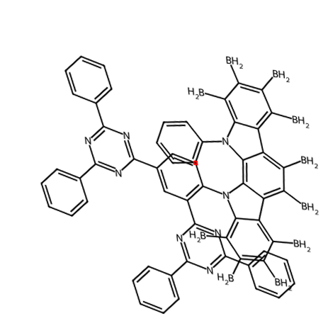 Bc1c(B)c(B)c2c(c1B)c1c(B)c(B)c3c4c(B)c(B)c(B)c(B)c4n(-c4ccc(-c5nc(-c6ccccc6)nc(-c6ccccc6)n5)cc4-c4nc(-c5ccccc5)nc(-c5ccccc5)n4)c3c1n2-c1ccccc1